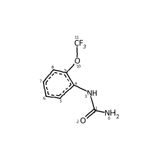 NC(=O)Nc1ccccc1OC(F)(F)F